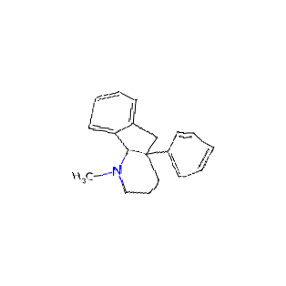 CN1CCCC2(c3ccccc3)Cc3ccccc3C12